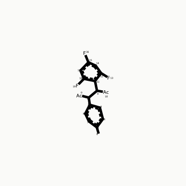 CC(=O)C(c1ccc(C)cc1)C(C(C)=O)c1c(F)cc(F)cc1F